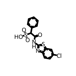 O=C(Nc1nc2ccc(Cl)cc2s1)C(c1ccccc1)S(=O)(=O)O